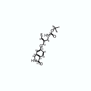 CC(C)(C)OC(=O)NCC(=CF)COc1ccc2c(c1)CNC2=O